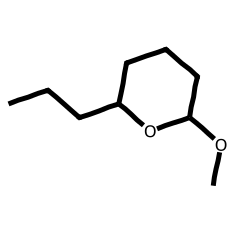 CCCC1CCCC(OC)O1